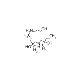 CCCC(C)(O)CNCC(C)(O)CCC.NCCCO